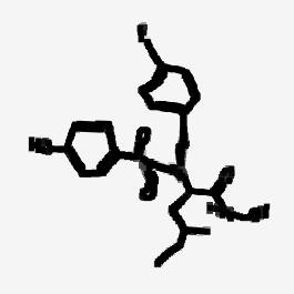 CC(C)C[C@H](C(=O)NO)N(Cc1ccc(F)cc1)S(=O)(=O)c1ccc(O)cc1